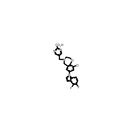 O=C(O)c1ncc(CN2CCOc3c(Cl)cc(-n4ccc5c(F)c(F)ccc54)cc3C2)cn1